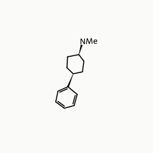 CN[C@H]1CC[C@@H](c2ccccc2)CC1